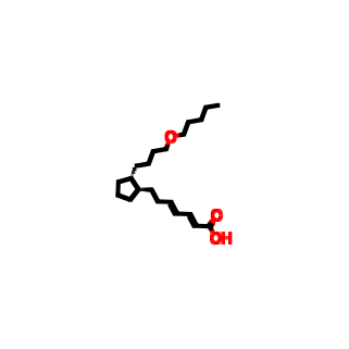 CCCCCOCCCC[C@H]1CCC[C@@H]1CCC=CC=CC(=O)O